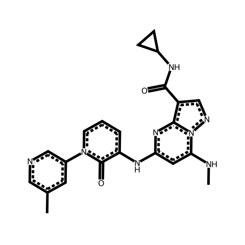 CNc1cc(Nc2cccn(-c3cncc(C)c3)c2=O)nc2c(C(=O)NC3CC3)cnn12